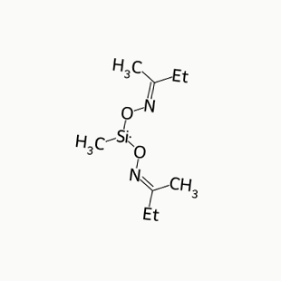 CCC(C)=NO[Si](C)ON=C(C)CC